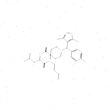 CCCCN1C(=O)C(CC(C)C)NC(=O)C12CCN(C(c1ccc(C)cc1)c1c(C)n[nH]c1C)CC2